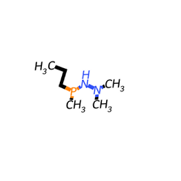 CCCP(C)NN(C)C